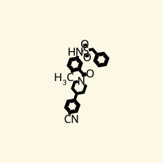 Cc1ccc(NS(=O)(=O)Cc2ccccc2)cc1C(=O)N1CCC(c2ccc(C#N)cc2)CC1